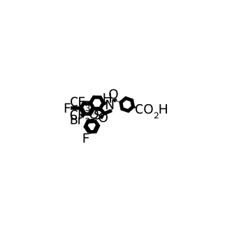 O=C(O)[C@H]1CC[C@H](C(=O)N2CC[C@@]3(S(=O)(=O)c4ccc(F)cc4)c4cc(Br)c(C(F)(C(F)(F)F)C(F)(F)F)cc4CC[C@@H]23)CC1